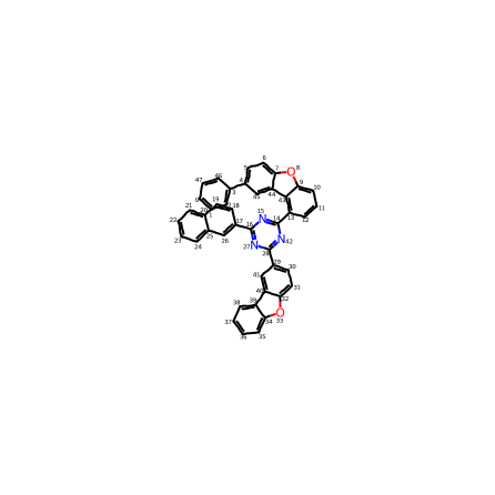 c1ccc(-c2ccc3oc4cccc(-c5nc(-c6ccc7ccccc7c6)nc(-c6ccc7oc8ccccc8c7c6)n5)c4c3c2)cc1